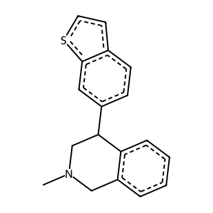 CN1Cc2ccccc2C(c2ccc3ccsc3c2)C1